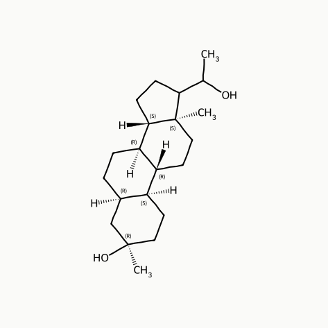 CC(O)C1CC[C@H]2[C@@H]3CC[C@@H]4C[C@](C)(O)CC[C@@H]4[C@H]3CC[C@]12C